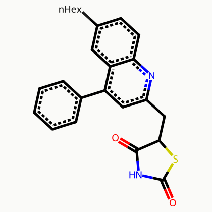 CCCCCCc1ccc2nc(CC3SC(=O)NC3=O)cc(-c3ccccc3)c2c1